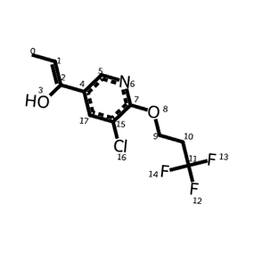 CC=C(O)c1cnc(OCCC(F)(F)F)c(Cl)c1